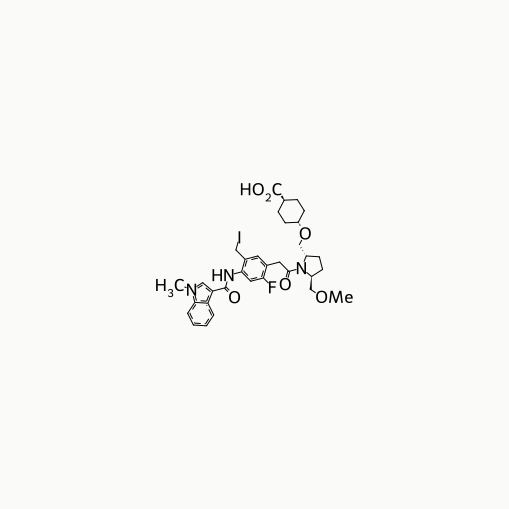 COC[C@@H]1CC[C@@H](CO[C@H]2CC[C@H](C(=O)O)CC2)N1C(=O)Cc1cc(CI)c(NC(=O)c2cn(C)c3ccccc23)cc1F